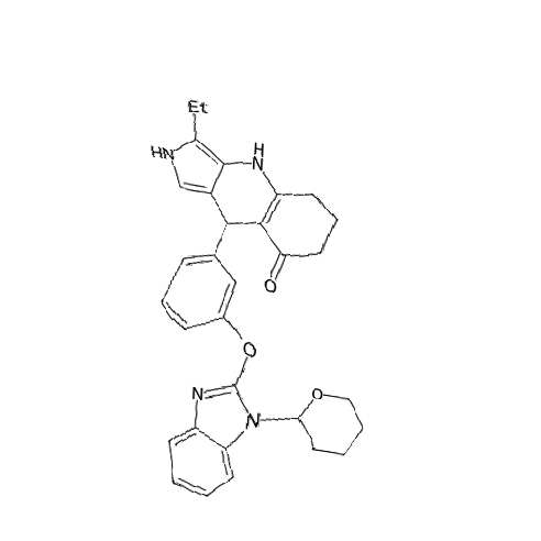 CCc1[nH]cc2c1NC1=C(C(=O)CCC1)C2c1cccc(Oc2nc3ccccc3n2C2CCCCO2)c1